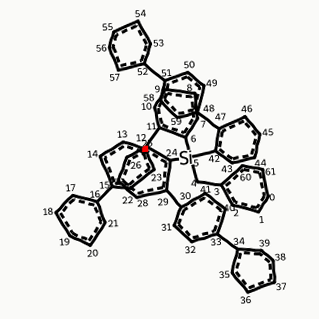 c1ccc(C[Si](c2ccccc2-c2ccc(-c3ccccc3)cc2)(c2ccccc2-c2ccc(-c3ccccc3)cc2)c2ccccc2-c2ccc(-c3ccccc3)cc2)cc1